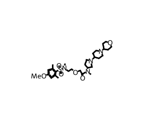 COc1cc(C)c(S(=O)(=O)N(C)CCOCC(=O)N(C)C2CCN(C3CCN(C4CCOCC4)CC3)C2)c(C)c1